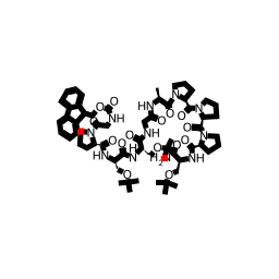 C[C@H](NC(=O)CNC(=O)[C@H](COC(C)(C)C)NC(=O)[C@H](COC(C)(C)C)NC(=O)[C@@H]1CCCN1C(=O)CNC(=O)OCC1c2ccccc2-c2ccccc21)C(=O)N1CCC[C@H]1C(=O)N1CCC[C@H]1C(=O)N1CCC[C@H]1C(=O)N[C@@H](COC(C)(C)C)C(N)=O